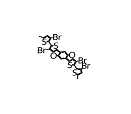 Cc1cc(Br)c(-c2sc3c(oc4cc5c(cc43)oc3c(Br)c(-c4sc(C)cc4Br)sc35)c2Br)s1